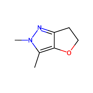 Cc1c2c(nn1C)CCO2